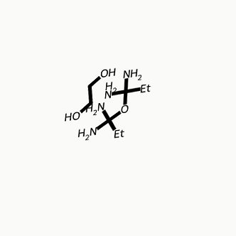 CCC(N)(N)OC(N)(N)CC.OCCO